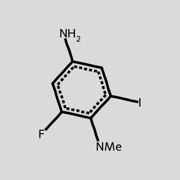 CNc1c(F)cc(N)cc1I